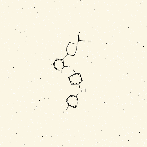 CC(=O)N1CCC(c2cccnc2Oc2ccc(Nc3ccc(C)cn3)cc2)CC1